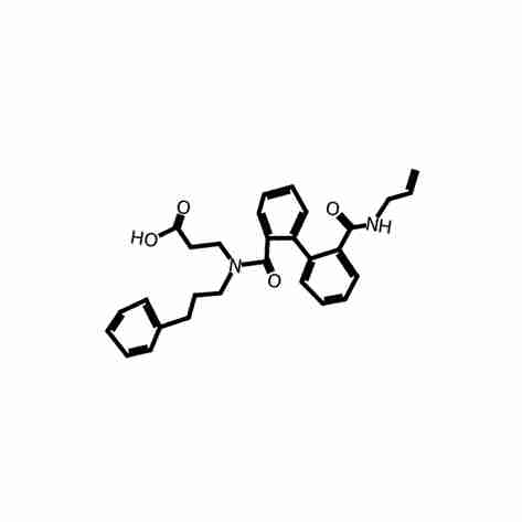 C=CCNC(=O)c1ccccc1-c1ccccc1C(=O)N(CCCc1ccccc1)CCC(=O)O